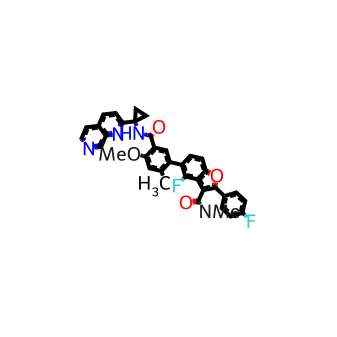 CNC(=O)c1c(-c2ccc(F)cc2)oc2ccc(-c3cc(C(=O)NC4(c5ccc6ccncc6n5)CC4)c(OC)cc3C)c(F)c12